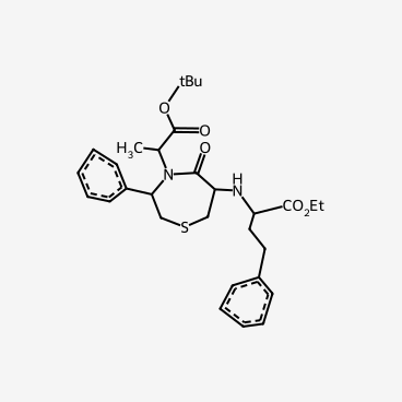 CCOC(=O)C(CCc1ccccc1)NC1CSCC(c2ccccc2)N(C(C)C(=O)OC(C)(C)C)C1=O